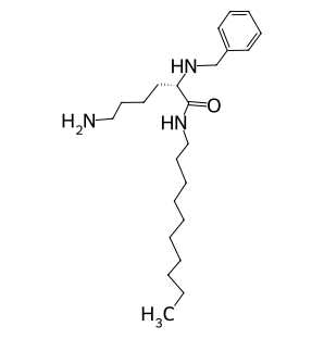 CCCCCCCCCCNC(=O)[C@H](CCCCN)NCc1ccccc1